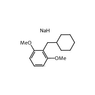 COc1[c]ccc(OC)c1CC1CCCCC1.[NaH]